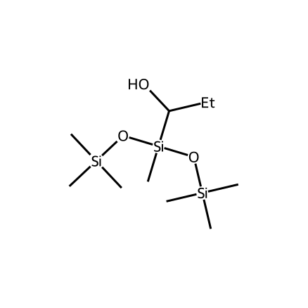 CCC(O)[Si](C)(O[Si](C)(C)C)O[Si](C)(C)C